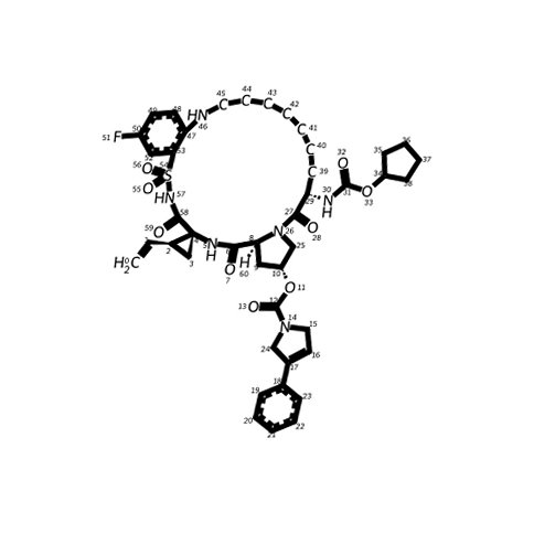 C=C[C@@H]1C[C@@]12NC(=O)[C@@H]1C[C@@H](OC(=O)N3CC=C(c4ccccc4)C3)CN1C(=O)[C@@H](NC(=O)OC1CCCC1)CCCCCCCNc1ccc(F)cc1S(=O)(=O)NC2=O